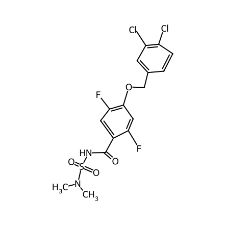 CN(C)S(=O)(=O)NC(=O)c1cc(F)c(OCc2ccc(Cl)c(Cl)c2)cc1F